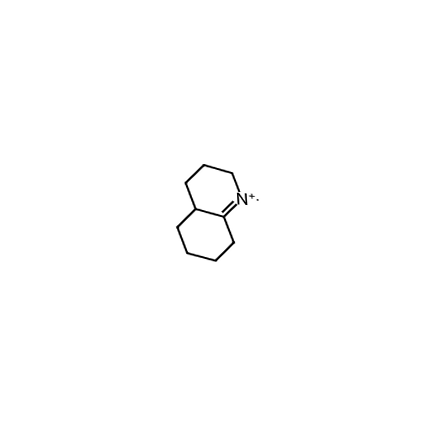 C1CCC2CCC[N+]=C2C1